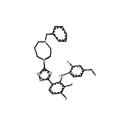 CCc1ccc(Nc2c(-c3nnc(N4CCCN(Cc5ccccc5)CC4)o3)ccc(F)c2F)c(F)c1